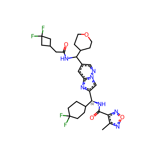 Cc1nonc1C(=O)N[C@H](c1cn2ncc(C(NC(=O)CC3CC(F)(F)C3)C3CCOCC3)cc2n1)C1CCC(F)(F)CC1